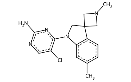 Cc1ccc2c(c1)N(c1nc(N)ncc1Cl)CC21CN(C)C1